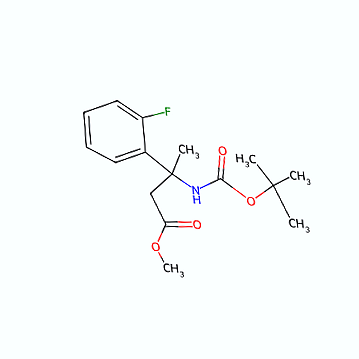 COC(=O)CC(C)(NC(=O)OC(C)(C)C)c1ccccc1F